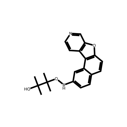 CC(C)(O)C(C)(C)OBc1ccc2ccc3oc4cnccc4c3c2c1